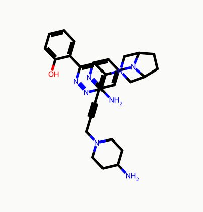 Nc1nnc(-c2ccccc2O)cc1N1CC2CCC(C1)N2c1ccnc(C#CCN2CCC(N)CC2)c1